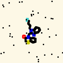 O=C1CSc2ccccc2N1Cc1nc2ccccc2n1CCCCF